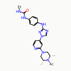 CCNC(=O)Nc1ccc(Nc2ncn(-c3ccnc(N4C[C@@H](C)N(C(C)=O)[C@@H](C)C4)c3)n2)cc1